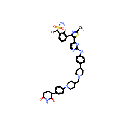 CCC(c1cccc(-c2nc(C)sc2-c2ccnc(Nc3ccc(C4CCN(CC5CCN(c6ccc(C7CCC(=O)NC7=O)cc6)CC5)CC4)cc3)n2)c1F)S(N)(=O)=O